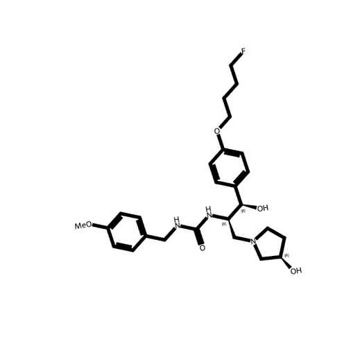 COc1ccc(CNC(=O)N[C@H](CN2CC[C@@H](O)C2)[C@H](O)c2ccc(OCCCCF)cc2)cc1